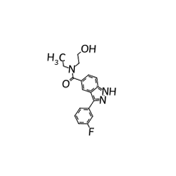 CCN(CCO)C(=O)c1ccc2[nH]nc(-c3cccc(F)c3)c2c1